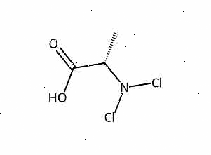 C[C@@H](C(=O)O)N(Cl)Cl